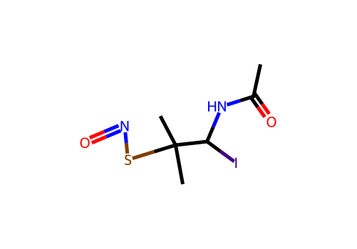 CC(=O)NC(I)C(C)(C)SN=O